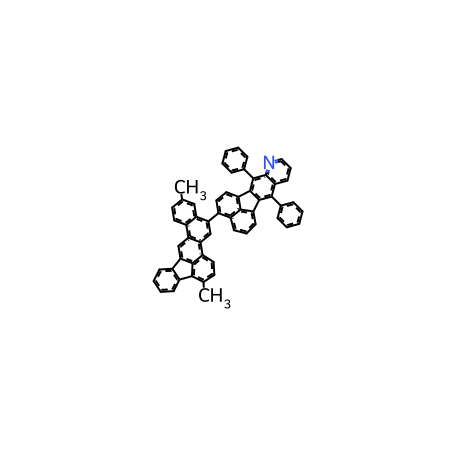 Cc1ccc2c(c1)c(-c1ccc3c4c(cccc14)-c1c-3c(-c3ccccc3)c3ncccc3c1-c1ccccc1)cc1c3ccc(C)c4c3c(cc21)-c1ccccc1-4